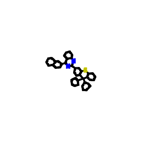 c1ccc(C2(c3ccccc3)c3ccccc3Sc3cc(-c4nc(-c5ccc6ccccc6c5)c5ccccc5n4)ccc32)cc1